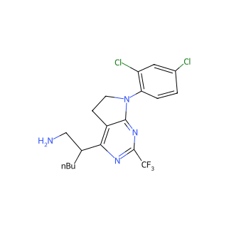 CCCCC(CN)c1nc(C(F)(F)F)nc2c1CCN2c1ccc(Cl)cc1Cl